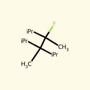 CC(C)C(C)(F)C(C)(C(C)C)C(C)C